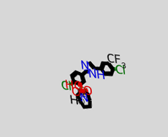 O=S(=O)(c1cc(-c2ncc(-c3ccc(Cl)c(C(F)(F)F)c3)[nH]2)ccc1Cl)N1C2CC[C@H]1C[C@@H](O)C2